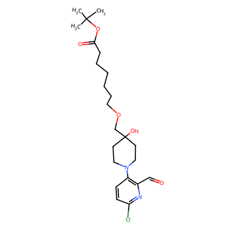 CC(C)(C)OC(=O)CCCCCCOCC1(O)CCN(c2ccc(Cl)nc2C=O)CC1